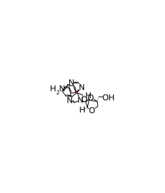 Nc1ncnc2c1ncn2[C@@H]1O[C@@]2(CO)CO[C@@H]1[C@H]2OCc1ccccc1